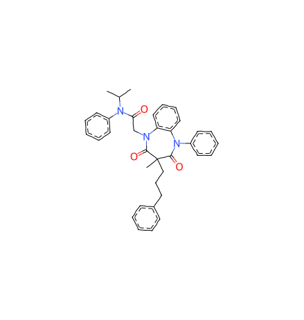 CC(C)N(C(=O)CN1C(=O)C(C)(CCCc2ccccc2)C(=O)N(c2ccccc2)c2ccccc21)c1ccccc1